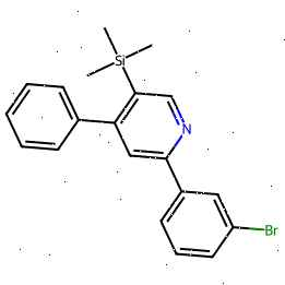 C[Si](C)(C)c1cnc(-c2cccc(Br)c2)cc1-c1ccccc1